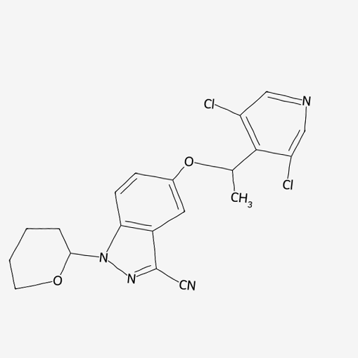 CC(Oc1ccc2c(c1)c(C#N)nn2C1CCCCO1)c1c(Cl)cncc1Cl